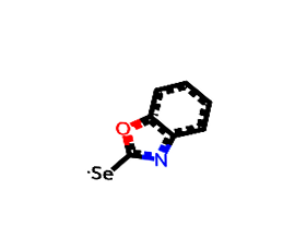 [Se]c1nc2ccccc2o1